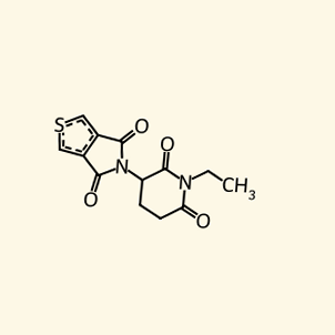 CCN1C(=O)CCC(N2C(=O)c3cscc3C2=O)C1=O